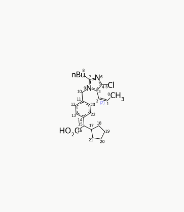 C/C=C\c1c(Cl)nc(CCCC)n1Cc1ccc(C(C(=O)O)C2CCCC2)cc1